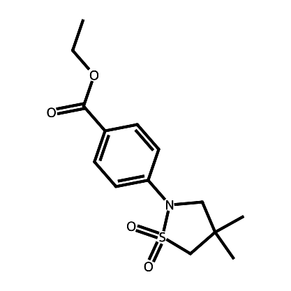 CCOC(=O)c1ccc(N2CC(C)(C)CS2(=O)=O)cc1